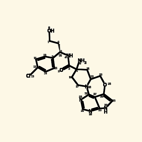 NC1(C(=O)N[C@@H](CCO)c2ccc(Cl)cc2)CCN2c3ncnc4[nH]cc(c34)OCC2C1